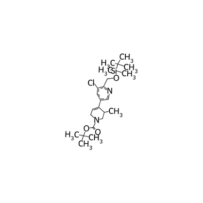 CC1CN(C(=O)OC(C)(C)C)CC=C1c1cnc(CO[Si](C)(C)C(C)(C)C)c(Cl)c1